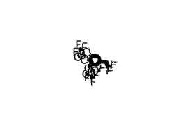 O=S(=O)(Oc1ccc(CC(F)(F)F)cc1OS(=O)(=O)C(F)(F)F)C(F)(F)F